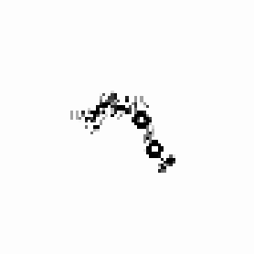 CCN(CCOC(=O)C(C)(C)CC(C)(CC)C(=O)OC)c1ccc(N=Nc2ccc([N+](=O)[O-])cc2)cc1